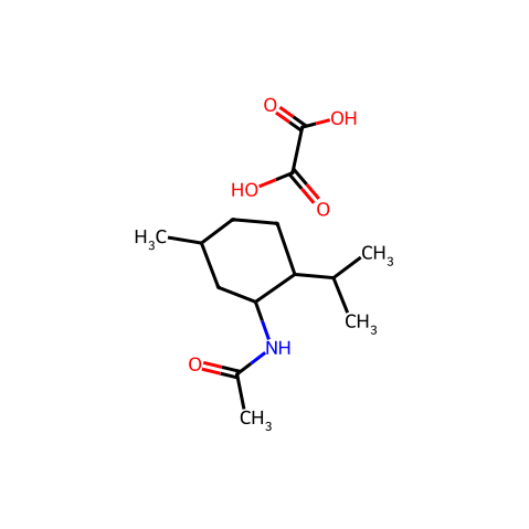 CC(=O)NC1CC(C)CCC1C(C)C.O=C(O)C(=O)O